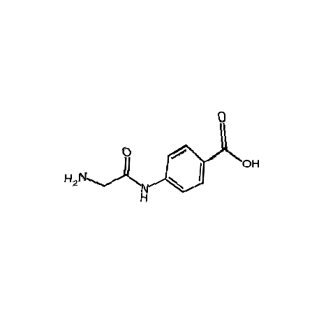 NCC(=O)Nc1ccc(C(=O)O)cc1